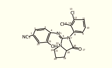 N#Cc1ccc(/N=C2/N(c3cccc(Cl)c3Cl)C(=O)C3CCCN23)c(O)c1